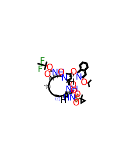 CC(C)Oc1cc2ccccc2c(O[C@@H]2C[C@H]3C(=O)N[C@]4(C(=O)NS(=O)(=O)C5(C)CC5)C[C@H]4/C=C\CC[C@H](C)C[C@@H](C)[C@H](NC(=O)OC(C)(C)C(C)(F)F)C(=O)N3C2)n1